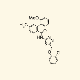 COc1ccccc1-c1cc(C)ncc1C(=O)Nc1nnc(COc2ccccc2Cl)s1